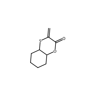 C=C1SC2CCCCC2OC1=O